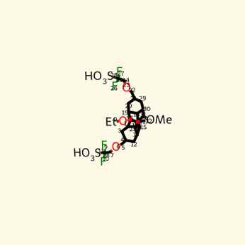 CCOC12CC(COCC(F)(F)S(=O)(=O)O)CC(C1)CC(C)(C1C3CC(COCC(F)(F)S(=O)(=O)O)CC1C(OC)C(C)C3)C2